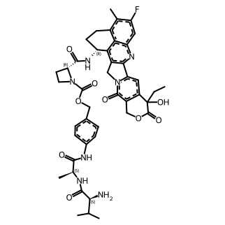 CCC1(O)C(=O)OCc2c1cc1n(c2=O)Cc2c-1nc1cc(F)c(C)c3c1c2[C@H](NC(=O)[C@H]1CCN1C(=O)OCc1ccc(NC(=O)[C@H](C)NC(=O)[C@@H](N)C(C)C)cc1)CC3